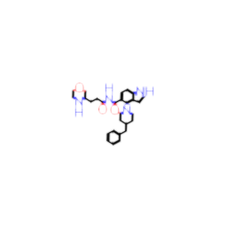 O=C(CCC1COCCN1)NC(=O)c1ccc2[nH]ccc2c1N1CCC(Cc2ccccc2)CC1